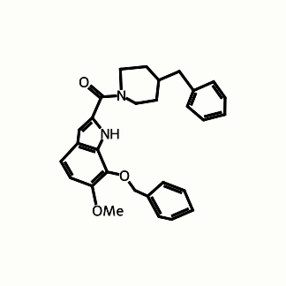 COc1ccc2cc(C(=O)N3CCC(Cc4ccccc4)CC3)[nH]c2c1OCc1ccccc1